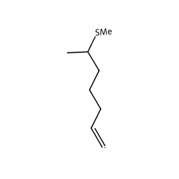 [CH]=CCCCC(C)SC